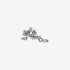 Cn1nc(C(=O)NCc2ccc(C#N)cc2)c2c1C(=O)N(CC1(S(=O)(=O)C(C)(CN)CO)CC1)CC2